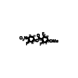 COc1cc(F)c(C(=O)Oc2ccc([N+](=O)[O-])c(F)c2)c(F)c1